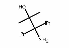 CC(C)C([SiH3])(C(C)C)C(C)(C)O